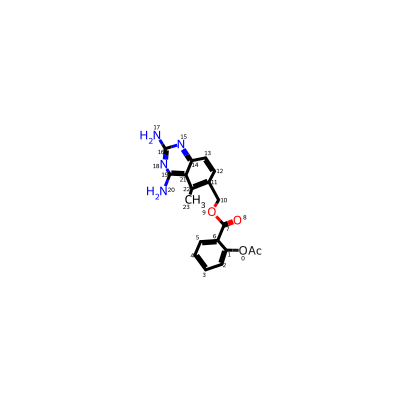 CC(=O)Oc1ccccc1C(=O)OCc1ccc2nc(N)nc(N)c2c1C